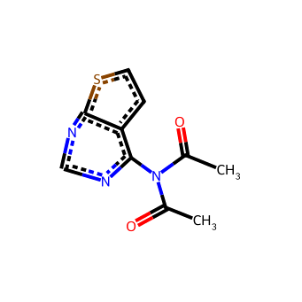 CC(=O)N(C(C)=O)c1ncnc2sccc12